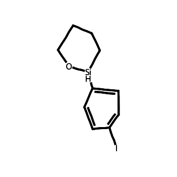 Ic1ccc([SiH]2CCCCO2)cc1